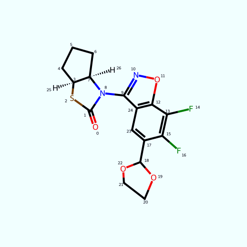 O=C1S[C@H]2CCC[C@H]2N1c1noc2c(F)c(F)c(C3OCCO3)cc12